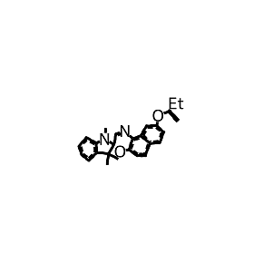 C=C(CC)Oc1ccc2ccc3c(c2c1)N=CC1(O3)N(C)c2ccccc2C1(C)C